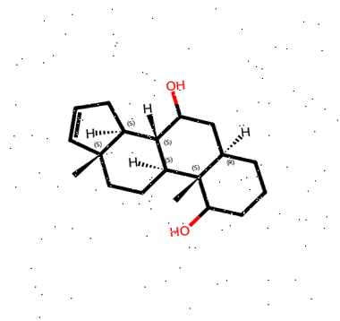 C[C@]12C(O)CCC[C@@H]1CC(O)[C@@H]1[C@@H]2CC[C@]2(C)C=CC[C@@H]12